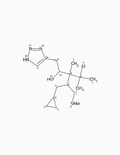 CCC(C)(C)C(C)([C](CSC)CC1CC1)C(O)Cc1c[nH]nn1